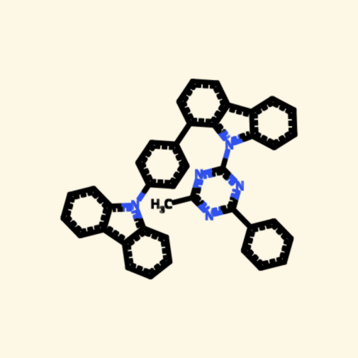 Cc1nc(-c2ccccc2)nc(-n2c3ccccc3c3cccc(-c4ccc(-n5c6ccccc6c6ccccc65)cc4)c32)n1